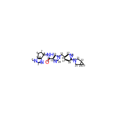 Cn1cnc2c1CC[C@H]2NC(=O)c1cn(Cc2ccc(N3CC4CC4C3)nc2)cn1